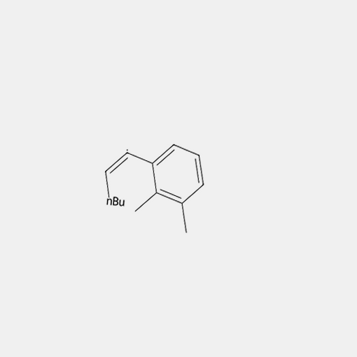 CCCC/C=[C]\c1cccc(C)c1C